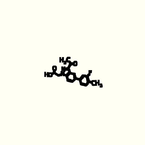 CC(=O)c1nn(CC(=O)O)c2ccc(-c3ccc(C)c(F)c3)cc12